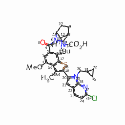 COc1cc(C(=O)N2CC3CCC2[C@@H]3N(C(=O)O)C(C)(C)C)cc2sc(-c3cc4ccc(Cl)nc4n3CC3CC3)c(C)c12